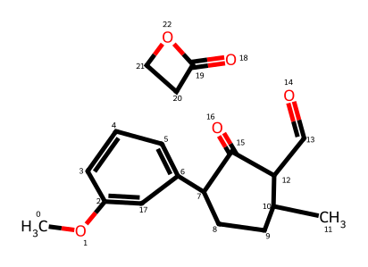 COc1cccc(C2CCC(C)C(C=O)C2=O)c1.O=C1CCO1